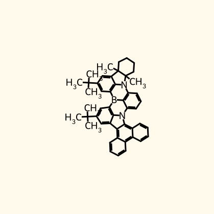 CC(C)(C)c1cc2c3c(c1)C1(C)CCCCC1(C)N3c1cccc3c1B2c1cc(C(C)(C)C)cc2c4c5ccccc5c5ccccc5c4n-3c12